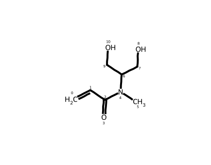 C=CC(=O)N(C)C(CO)CO